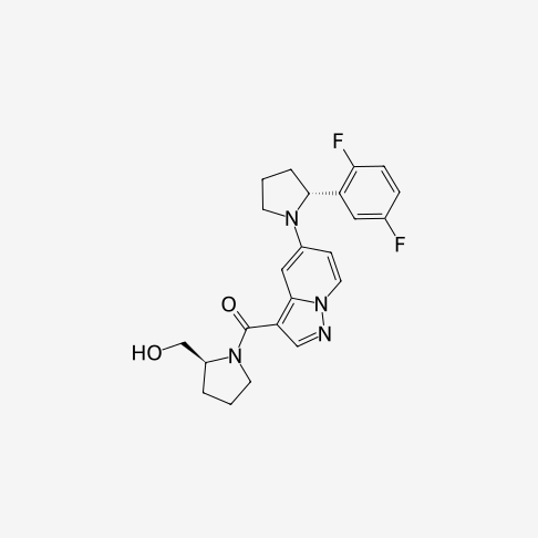 O=C(c1cnn2ccc(N3CCC[C@@H]3c3cc(F)ccc3F)cc12)N1CCC[C@H]1CO